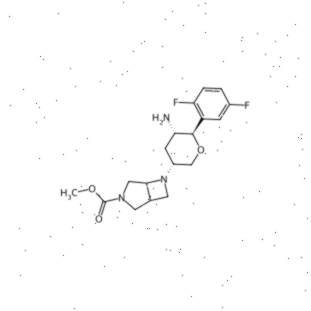 COC(=O)N1CC2CN([C@H]3CO[C@H](c4cc(F)ccc4F)[C@@H](N)C3)C2C1